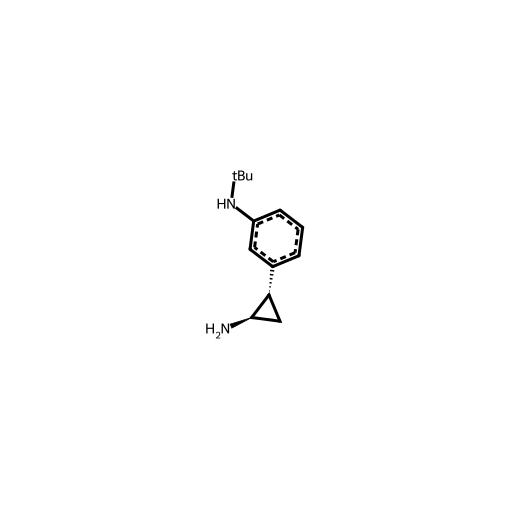 CC(C)(C)Nc1cccc([C@@H]2C[C@H]2N)c1